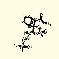 CS(=O)(=O)OONC(=O)C1(OS(C)(=O)=O)C2CCC(C2)C1C(N)=O